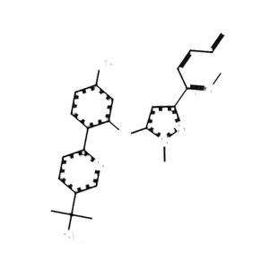 C=C/C=C\C(=N/C)c1cc(Oc2cc(C#N)ccc2-c2ccc(C(C)(C)N)cn2)n(C)n1